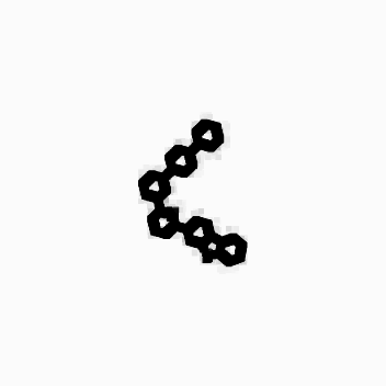 c1ccc(-c2ccc(-c3cccc(-c4cccc(-c5ccc6c(c5)sc5ccccc56)n4)c3)cc2)cc1